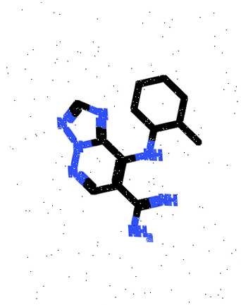 CC1CCCCC1Nc1c(C(=N)N)cnn2ncnc12